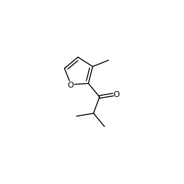 Cc1ccoc1C(=O)C(C)C